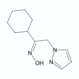 O/N=C(\Cn1cccn1)C1CCCCC1